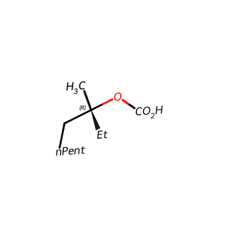 CCCCCC[C@@](C)(CC)OC(=O)O